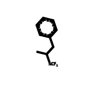 CC(Cc1ccccc1)NC(F)(F)F